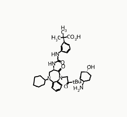 CC(C)(C)C(=O)CN1C(=O)[C@H](NC(=O)Nc2cccc(C(C)(C)C(=O)O)c2)CN(C2CCCCC2)c2ccccc21.N[C@H]1CC[C@H](O)CC1